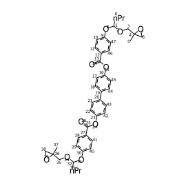 CCCC(OCC1(C)CO1)Oc1ccc(C(=O)Oc2ccc(-c3ccc(OC(=O)c4ccc(OC(CCC)OCC5(C)CO5)cc4)cc3)cc2)cc1